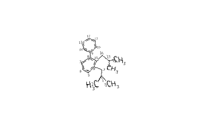 CC(C)Cc1cccc(-c2ccccc2)c1CC(C)C